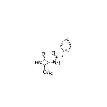 CC(=O)OC1NC(=O)C1NC(=O)Cc1ccccc1